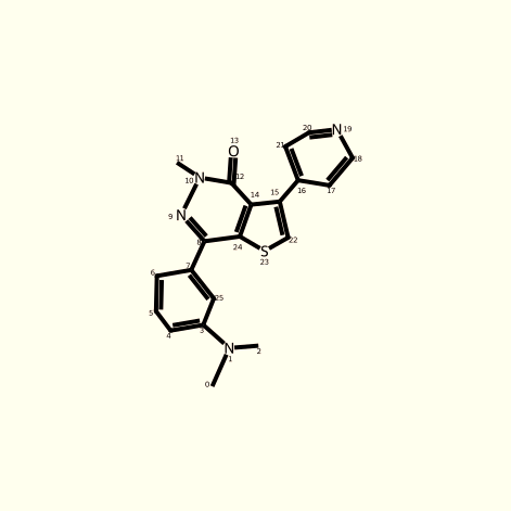 CN(C)c1cccc(-c2nn(C)c(=O)c3c(-c4ccncc4)csc23)c1